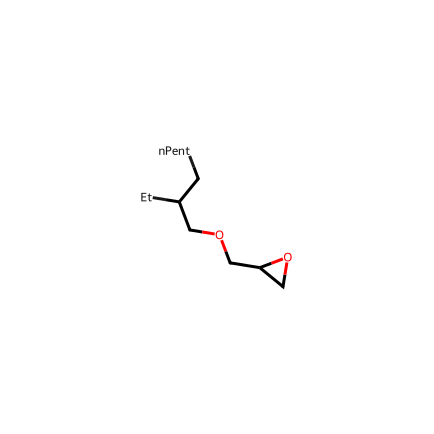 CCCCCCC(CC)COCC1CO1